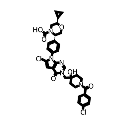 O=C(c1ccc(Cl)cc1)N1CCC(O)(Cn2cnc3c(cc(Cl)n3-c3ccc([C@H]4CO[C@H](C5CC5)CN4C(=O)O)cc3)c2=O)CC1